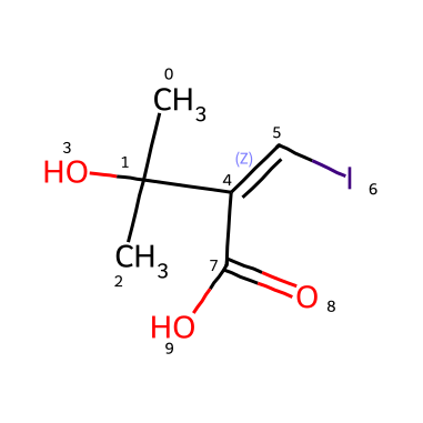 CC(C)(O)/C(=C/I)C(=O)O